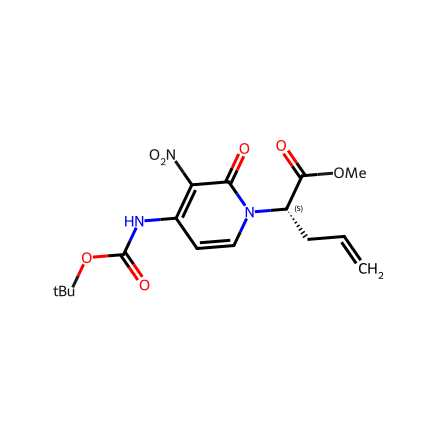 C=CC[C@@H](C(=O)OC)n1ccc(NC(=O)OC(C)(C)C)c([N+](=O)[O-])c1=O